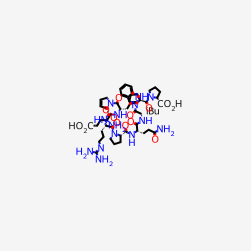 CC[C@H](C)[C@H](NC(=O)[C@H](CCC(N)=O)NC(=O)[C@@H]1CCCN1C(=O)[C@H](CCCN=C(N)N)NC(=O)[C@@H]1C=CCN1C(=O)[C@H](Cc1c[nH]c2ccccc12)NC(=O)[C@@H](N)CCC(=O)O)C(=O)N1CCC[C@H]1C(=O)N1CCC[C@H]1C(=O)O